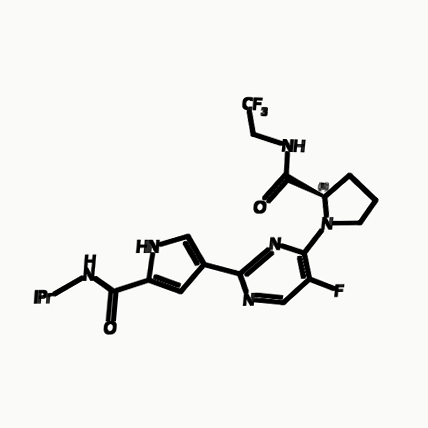 CC(C)NC(=O)c1cc(-c2ncc(F)c(N3CCC[C@@H]3C(=O)NCC(F)(F)F)n2)c[nH]1